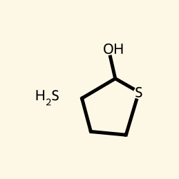 OC1CCCS1.S